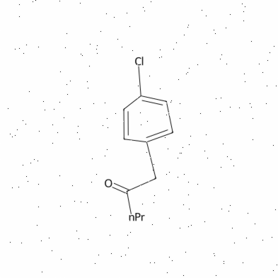 CCCC(=O)Cc1ccc(Cl)cc1